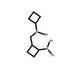 CCN(C(C)C)C1CCC1CN(C(C)C)C1CCC1